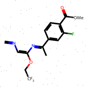 C=N/C=C(\N=C(/C)c1ccc(C(=O)OC)c(F)c1)OCC(F)(F)F